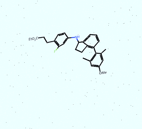 CCOC(=O)CCc1ccc(NC2CCc3c(-c4c(C)cc(OC)cc4C)cccc32)cc1F